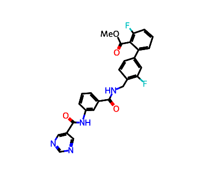 COC(=O)c1c(F)cccc1-c1ccc(CNC(=O)c2cccc(NC(=O)c3cncnc3)c2)c(F)c1